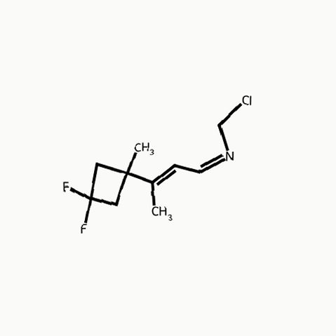 C/C(=C\C=N/CCl)C1(C)CC(F)(F)C1